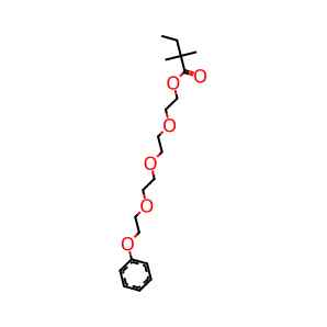 CCC(C)(C)C(=O)OCCOCCOCCOCCOc1ccccc1